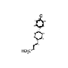 O=C(O)CCC[C@H]1CC[C@H](c2ccc(Cl)cc2)CC1